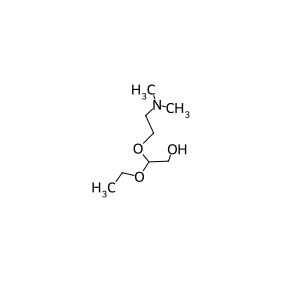 CCOC(CO)OCCN(C)C